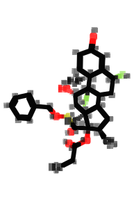 CCC(=O)O[C@]1(C(=O)SOCc2ccccc2)[C@H](C)CC2C3C[C@H](F)C4=CC(=O)C=C[C@]4(C)[C@@]3(F)[C@@H](O)C[C@@]21C